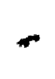 Cc1ccc(C(NC(=O)Cc2ccc(OCc3cccnc3C)cc2)c2ccccc2)cc1C